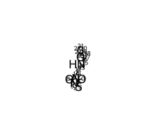 O=C1C2SCCN2C(=O)N1CCCCNCC1CCc2ccccc2O1